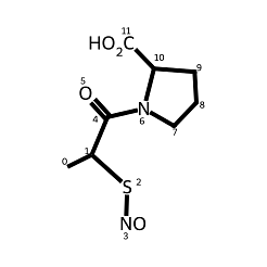 CC(SN=O)C(=O)N1CCCC1C(=O)O